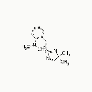 CN(C)c1ccccc1CSC1=NC(C)(C)C=N1